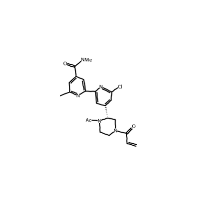 C=CC(=O)N1CCN(C(C)=O)[C@H](c2cc(Cl)nc(-c3cc(C(=O)NC)cc(C)n3)c2)C1